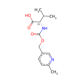 Cc1ccc(COC(=O)N[C@H](C(=O)O)C(C)C)cn1